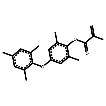 C=C(C)C(=O)Oc1c(C)cc(Oc2c(C)cc(C)cc2C)cc1C